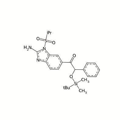 CC(C)S(=O)(=O)n1c(N)nc2ccc(C(=O)C(O[Si](C)(C)C(C)(C)C)c3ccccc3)cc21